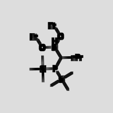 CCCC([SiH](OCC)OCC)P([Si](C)(C)C)[Si](C)(C)C